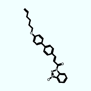 C=CCCCCOc1ccc(-c2ccc(C=CC(=O)n3n[n+]([O-])c4ccccc43)cc2)cc1